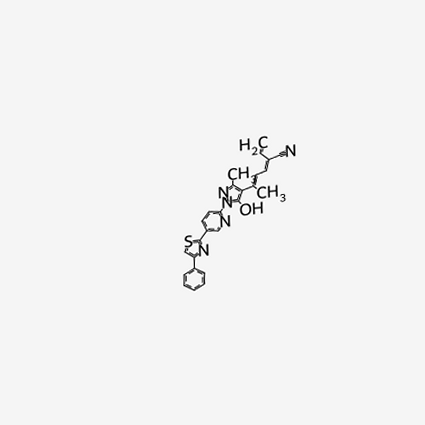 C=C/C(C#N)=C\C=C(/C)c1c(C)nn(-c2ccc(-c3nc(-c4ccccc4)cs3)cn2)c1O